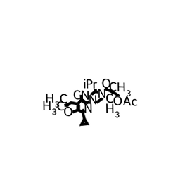 CC(=O)OCC(C)(C)C(=O)N1CCN(c2nc(C3CC3)c3c(c2C#N)CC(C)(C)OC3)CC1C(C)C